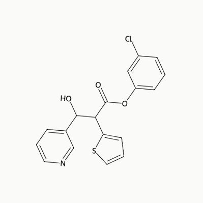 O=C(Oc1cccc(Cl)c1)C(c1cccs1)C(O)c1cccnc1